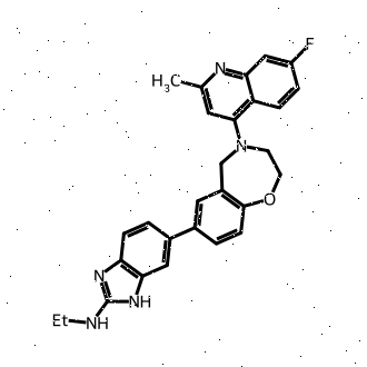 CCNc1nc2ccc(-c3ccc4c(c3)CN(c3cc(C)nc5cc(F)ccc35)CCO4)cc2[nH]1